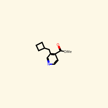 COC(=O)c1ccncc1CC1CCC1